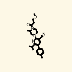 COCCC(=O)N1CCN(c2nc(C(C)C)c(-c3ccc(C)cc3)cc2C#N)CC1C